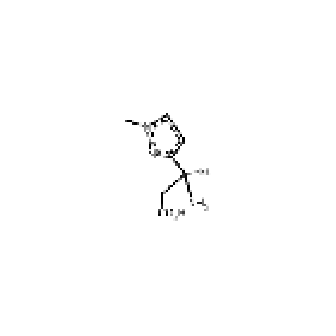 CCC(N)(CC(=O)O)c1ccn(C)n1